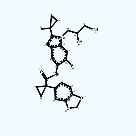 CC1(c2cc3cc(NC(=O)C4(c5ccc6c(c5)OCO6)CC4)c(F)cc3n2C[C@H](O)CO)CC1